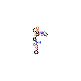 O=C(C[C@]1(c2ccc(-c3cccc(NC(=O)COCc4ccccc4)c3)s2)CCCCS1(=O)=O)NOC1CCCCO1